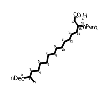 CCCCCCCCCCC(C)CCCCCCCCCCCCC(CCCCC)CC(=O)O